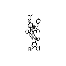 CC(C)COc1ccc(-n2c(C(=O)NCc3ccccc3)c3n(c2=O)CCN(C(=O)c2ccc(Br)c(Cl)c2)C3)cc1